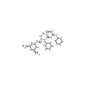 O=CN(Cc1ccccc1)CN1CCC[C@@H](OCc2cc(C(F)(F)F)cc(C(F)(F)F)c2)[C@H]1c1ccccc1